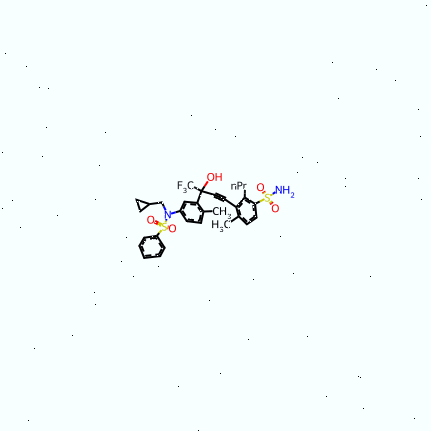 CCCc1c(S(N)(=O)=O)ccc(C)c1C#CC(O)(c1cc(N(CC2CC2)S(=O)(=O)c2ccccc2)ccc1C)C(F)(F)F